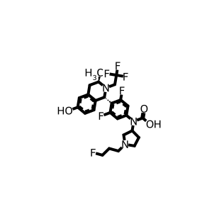 C[C@@H]1Cc2cc(O)ccc2[C@@H](c2c(F)cc(N(C(=O)O)C3CCN(CCCF)C3)cc2F)N1CC(F)(F)F